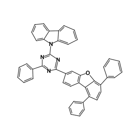 c1ccc(-c2nc(-c3ccc4c(c3)oc3c(-c5ccccc5)ccc(-c5ccccc5)c34)nc(-n3c4ccccc4c4ccccc43)n2)cc1